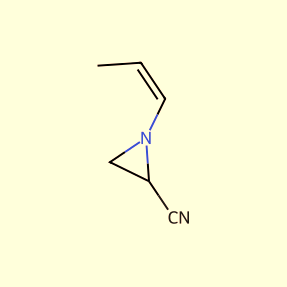 C/C=C\N1CC1C#N